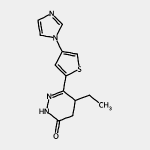 CCC1CC(=O)NN=C1c1cc(-n2ccnc2)cs1